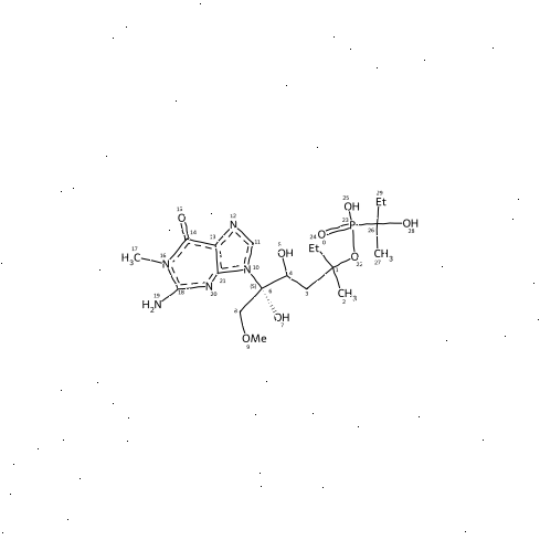 CCC(C)(CC(O)[C@@](O)(COC)n1cnc2c(=O)n(C)c(N)nc21)OP(=O)(O)C(C)(O)CC